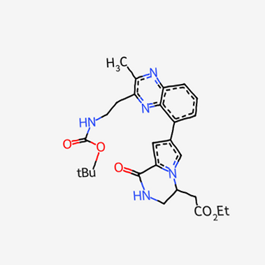 CCOC(=O)CC1CNC(=O)c2cc(-c3cccc4nc(C)c(CCNC(=O)OC(C)(C)C)nc34)cn21